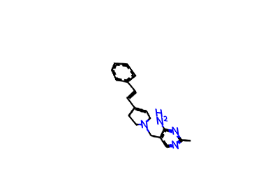 Cc1ncc(CN2CC=C(C=Cc3ccccc3)CC2)c(N)n1